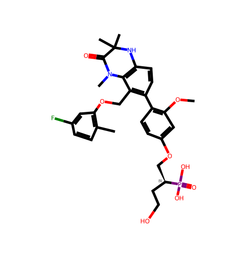 COc1cc(OC[C@H](CCO)P(=O)(O)O)ccc1-c1ccc2c(c1COc1cc(F)ccc1C)N(C)C(=O)C(C)(C)N2